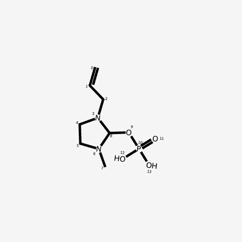 C=CCN1CCN(C)C1OP(=O)(O)O